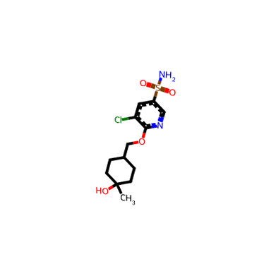 CC1(O)CCC(COc2ncc(S(N)(=O)=O)cc2Cl)CC1